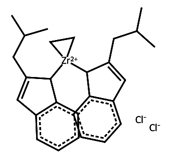 CC(C)CC1=Cc2ccccc2[CH]1[Zr+2]1([CH]2C(CC(C)C)=Cc3ccccc32)[CH2][CH2]1.[Cl-].[Cl-]